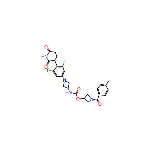 Cc1ccc(C(=O)N2CC(OC(=O)NC3CN(c4cc(F)c(C5CCC(=O)NC5=O)c(F)c4)C3)C2)cc1